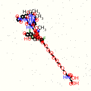 CCN(COCC(=O)[C@@]12O[C@H](c3cccc(F)c3)O[C@@H]1C[C@H]1[C@@H]3C[C@H](F)C4=CC(=O)C=C[C@]4(C)[C@@]3(F)[C@@H](O)C[C@@]12C)C(=O)OCc1ccc(NC(=O)[C@H](C)NC(=O)[C@@H](NC(=O)CCc2ccc(N3C(=O)C=CC3=O)cc2C(=O)NCC(=O)NCC(=O)NCCOCCOCCOCCOCCOCCOCCOCCOCCOCCOCCOCCOCCC(=O)N[C@@H](CCC(=O)O)C(=O)O)C(C)C)cc1